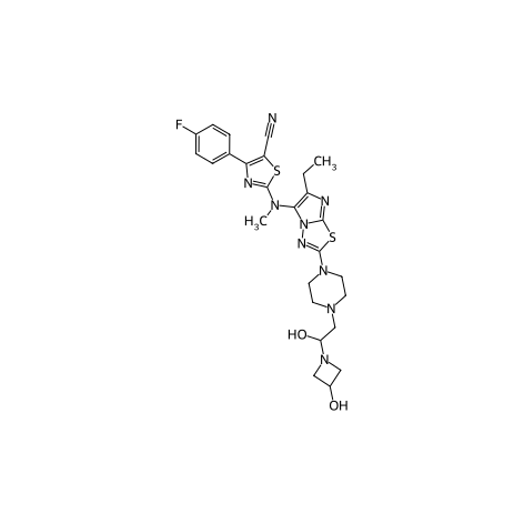 CCc1nc2sc(N3CCN(CC(O)N4CC(O)C4)CC3)nn2c1N(C)c1nc(-c2ccc(F)cc2)c(C#N)s1